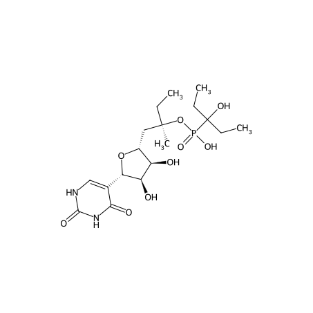 CCC(O)(CC)P(=O)(O)O[C@](C)(CC)C[C@H]1O[C@@H](c2c[nH]c(=O)[nH]c2=O)[C@H](O)[C@@H]1O